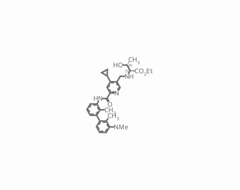 CCOC(=O)[C@@H](NCc1cnc(C(=O)Nc2cccc(-c3cccc(NC)c3C)c2C)cc1C1CC1)[C@@H](C)O